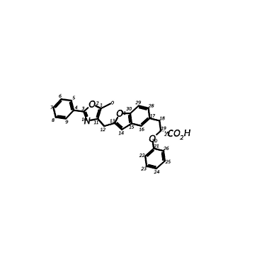 Cc1oc(-c2ccccc2)nc1Cc1cc2cc(C[C@@H](Oc3ccccc3)C(=O)O)ccc2o1